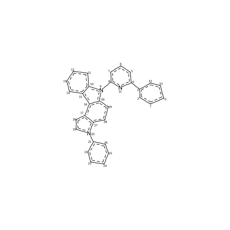 c1ccc(-c2cccc(-n3c4ccccc4c4c5ccn(-c6ccccc6)c5ccc43)n2)cc1